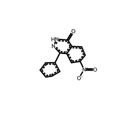 O=c1[nH]nc(-c2ccccc2)c2cc([N+](=O)[O-])ccc12